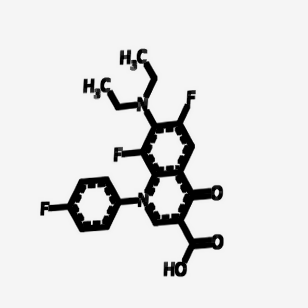 CCN(CC)c1c(F)cc2c(=O)c(C(=O)O)cn(-c3ccc(F)cc3)c2c1F